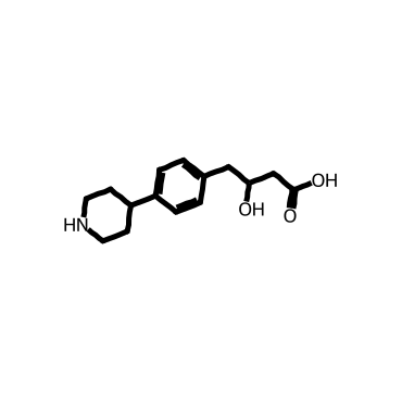 O=C(O)CC(O)Cc1ccc(C2CCNCC2)cc1